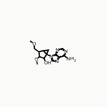 COCC1C(OC)C(O)C2(n3cnc4c(N)ncnc43)CC12